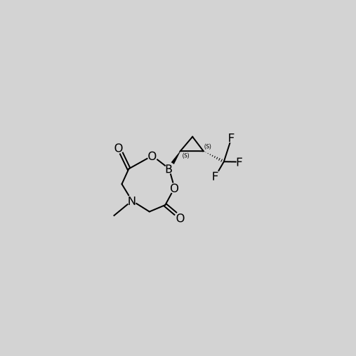 CN1CC(=O)OB([C@H]2C[C@@H]2C(F)(F)F)OC(=O)C1